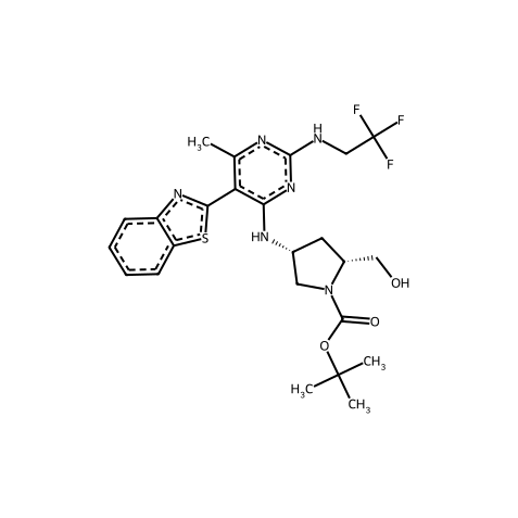 Cc1nc(NCC(F)(F)F)nc(N[C@@H]2C[C@H](CO)N(C(=O)OC(C)(C)C)C2)c1-c1nc2ccccc2s1